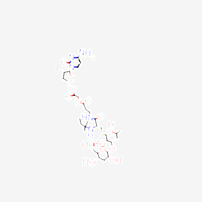 CCC(C)(C)N[C@H](CSCC(O)[C@H](CC(C)O)O[C@@H]1OC(CO)[C@@H](O)C[C@@H]1O)C(=O)NCCC(=O)OCC(=O)OC[C@@H]1C[C@H](F)[C@H](n2ccc(N)nc2=O)O1